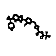 O=C(OC(=O)C(F)(F)F)C1CN(Cc2ccc(-c3nc4ccc(C5(C6CCOCC6)CC5)nc4s3)c(F)c2)C1